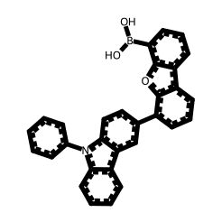 OB(O)c1cccc2c1oc1c(-c3ccc4c(c3)c3ccccc3n4-c3ccccc3)cccc12